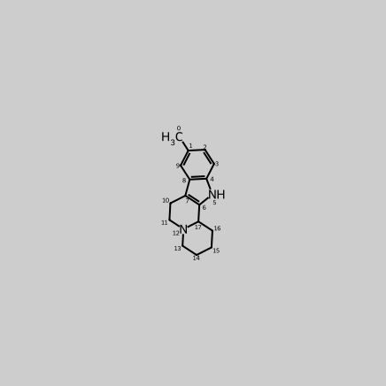 Cc1ccc2[nH]c3c(c2c1)CCN1CCCCC31